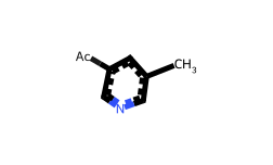 CC(=O)c1[c]c(C)cnc1